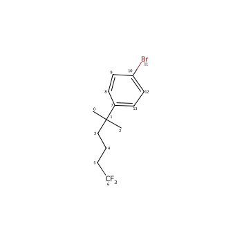 CC(C)(CCCC(F)(F)F)c1ccc(Br)cc1